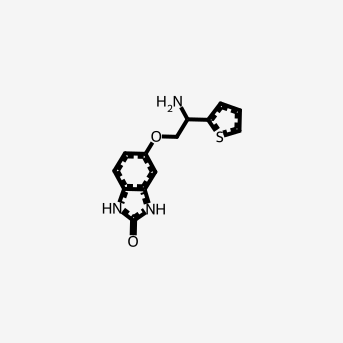 NC(COc1ccc2[nH]c(=O)[nH]c2c1)c1cccs1